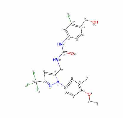 CCOc1ccc(-n2nc(C(F)(F)F)cc2CNC(=O)Nc2ccc(CO)c(F)c2)cc1C